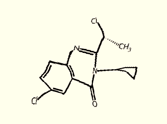 C[C@@H](Cl)c1nc2ccc(Cl)cc2c(=O)n1C1CC1